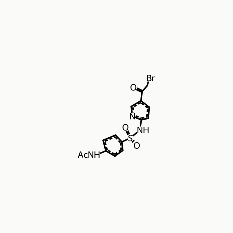 CC(=O)Nc1ccc(S(=O)(=O)Nc2ccc(C(=O)CBr)cn2)cc1